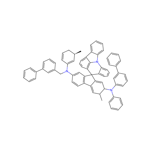 CC1C=C2C(=CC1N(c1ccccc1)c1cccc(-c3ccccc3)c1)C1(c3cc(N(Cc4cccc(-c5ccccc5)c4)C4=C[C@H](C)CC=C4)ccc32)c2ccccc2-n2c3ccccc3c3cccc1c32